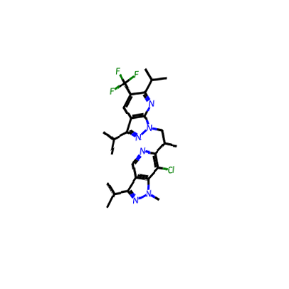 CC(C)c1nc2c(cc1C(F)(F)F)c(C(C)C)nn2CC(C)c1ncc2c(C(C)C)nn(C)c2c1Cl